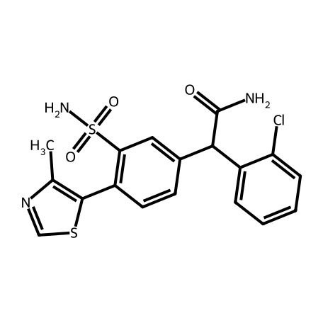 Cc1ncsc1-c1ccc(C(C(N)=O)c2ccccc2Cl)cc1S(N)(=O)=O